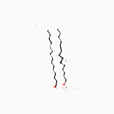 COC(=O)CCCCCCCCCCCCCCC(=O)[O-].COC(=O)CCCCCCCCCCCCCCC(=O)[O-].[Ba+2]